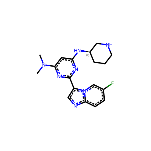 CN(C)c1cc(N[C@@H]2CCCNC2)nc(-c2cnc3ccc(F)cn23)n1